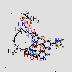 C[C@@H]1CC/C=C\[C@@H]2C[C@@]2(C(=O)NS(=O)(=O)C2(C)CC2)NC(=O)[C@@H]2C[C@@H](Oc3cc(-c4cccnc4)nc(-c4nccs4)c3)CN2C(=O)[C@@H](N(C(=O)O)C2(C(F)(F)F)CCCOC2)[C@H](C)C1